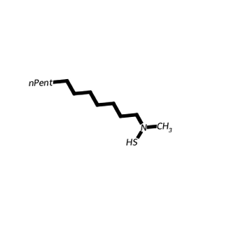 CCCCCCCCCCCCN(C)S